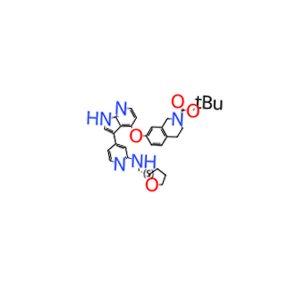 CC(C)(C)OC(=O)N1CCc2ccc(Oc3ccnc4[nH]cc(-c5ccnc(NC[C@@H]6CCCO6)c5)c34)cc2C1